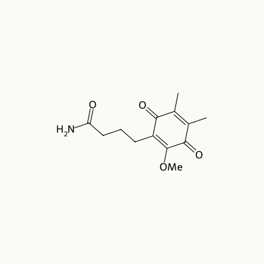 COC1=C(CCCC(N)=O)C(=O)C(C)=C(C)C1=O